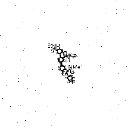 CCNC(=O)c1cccc(-c2ccc(-c3ccc4oc(-c5ccc(F)cc5)c(C(=O)NC)c4c3)cc2C(=O)NCC(C)C)c1